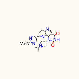 C=C(C)N1CCC(n2c(=O)[nH]c(=O)c3cnc4ccc(-c5cnc(NC)nc5)nc4c32)CC1